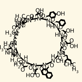 C=C/C(=C\CC)CSC[C@H]1NC(=O)[C@@H](C)NC(=O)[C@H](Cc2cccc3ccccc23)NC(=O)[C@H](CCC(=O)O)NC(=O)[C@H](CC(N)=O)NC(=O)[C@@H](C)NC(=O)[C@@H](NC(=O)[C@H](C)N)CN(C)CCN(C)C[C@@H](C(N)=O)NC(=O)[C@H](C(C)(C)C)NC(=O)[C@H](CC(=O)O)NC(=O)[C@H](Cc2ccc(O)cc2)NC(=O)[C@H](Cc2ccccc2)NC(=O)[C@H](CC(=O)O)NC(=O)[C@H](CCC(=O)O)NC1=O